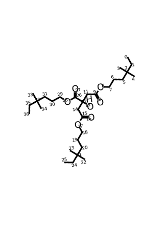 CCC(C)(C)CCCOC(=O)CC(O)(CC(=O)OCCCC(C)(C)CC)C(=O)OCCCC(C)(C)CC